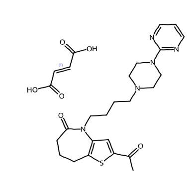 CC(=O)c1cc2c(s1)CCCC(=O)N2CCCCN1CCN(c2ncccn2)CC1.O=C(O)/C=C/C(=O)O